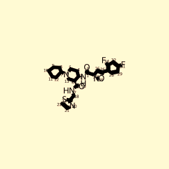 O=C(N[C@H]1CCN(C2CCCCC2)C[C@@H]1C(=O)NCc1nccs1)c1cc(-c2ccc(F)cc2F)on1